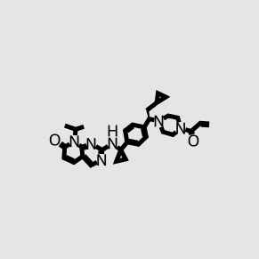 C=CC(=O)N1CCN([C@H](CC2CC2)c2ccc(C3(Nc4ncc5ccc(=O)n(C(C)C)c5n4)CC3)cc2)CC1